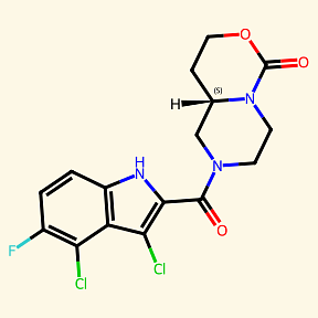 O=C(c1[nH]c2ccc(F)c(Cl)c2c1Cl)N1CCN2C(=O)OCC[C@H]2C1